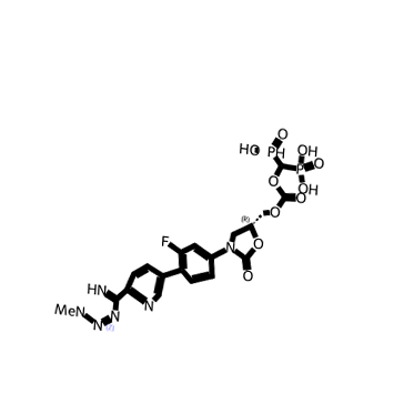 CN/N=N\C(=N)c1ccc(-c2ccc(N3C[C@H](COC(=O)OC([PH](=O)O)P(=O)(O)O)OC3=O)cc2F)cn1